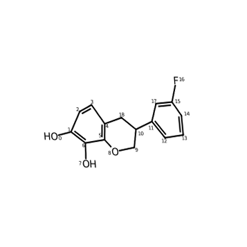 Oc1ccc2c(c1O)OCC(c1cccc(F)c1)C2